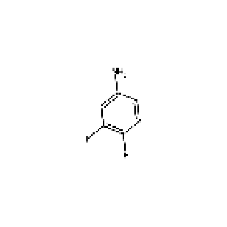 Nc1ccc(F)c(I)c1